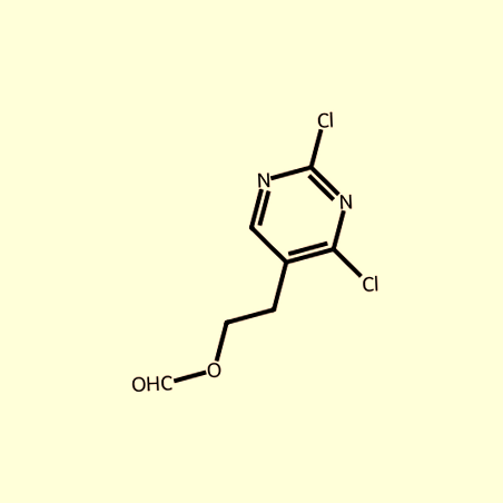 O=COCCc1cnc(Cl)nc1Cl